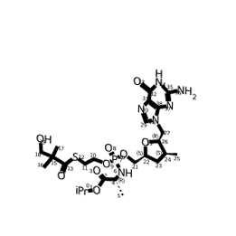 CC(C)OC(=O)[C@@H](C)NP(=O)(OCCSC(=O)C(C)(C)CO)OC[C@@H]1C[C@H](C)[C@H](Cn2cnc3c(=O)[nH]c(N)nc32)O1